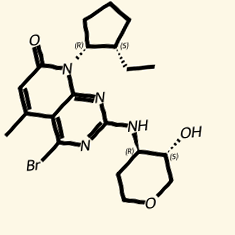 CC[C@H]1CCC[C@H]1n1c(=O)cc(C)c2c(Br)nc(N[C@@H]3CCOC[C@H]3O)nc21